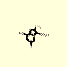 CCOC(=O)c1c(C)nc2c(O)cc(F)cn12